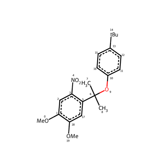 COc1cc([N+](=O)[O-])c(C(C)(C)Oc2ccc(C(C)(C)C)cc2)cc1OC